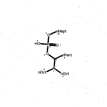 CCCCCCCCN(CCCCCCCC)C(CCCCC)OP(=O)(O)OCCCCCCC